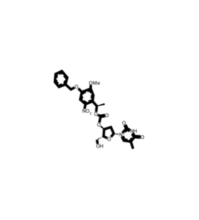 COc1cc([C@@H](C)OC(=O)O[C@H]2C[C@H](n3cc(C)c(=O)[nH]c3=O)O[C@@H]2CO)c([N+](=O)[O-])cc1OCc1ccccc1